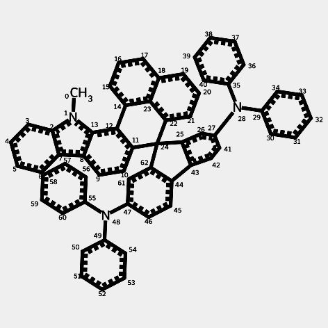 Cn1c2ccccc2c2ccc3c(c21)-c1cccc2cccc(c12)C31c2cc(N(c3ccccc3)c3ccccc3)ccc2-c2ccc(N(c3ccccc3)c3ccccc3)cc21